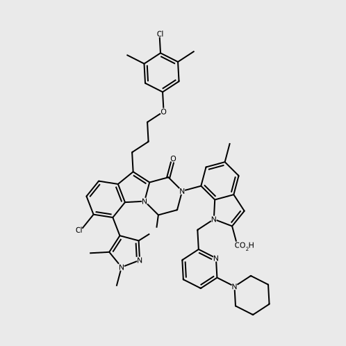 Cc1cc(N2CC(C)n3c(c(CCCOc4cc(C)c(Cl)c(C)c4)c4ccc(Cl)c(-c5c(C)nn(C)c5C)c43)C2=O)c2c(c1)cc(C(=O)O)n2Cc1cccc(N2CCCCC2)n1